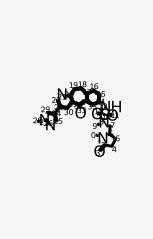 CN1C(=O)CCC1CN(C)S(=O)(=O)Nc1ccc2ccc3ncc(-c4cnn(C)c4)cc3c(=O)c2c1